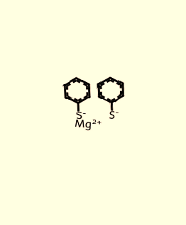 [Mg+2].[S-]c1ccccc1.[S-]c1ccccc1